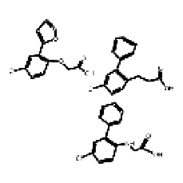 O=C(O)CCc1ccc(Cl)cc1-c1ccccc1.O=C(O)CNc1ccc(Cl)cc1-c1ccccc1.O=C(O)COc1ccc(Cl)cc1-c1ccno1